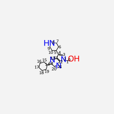 OCn1cc(C2CCNCC2)c2nc(C3CCCCC3)cnc21